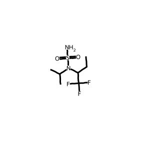 CCC(N(C(C)C)S(N)(=O)=O)C(F)(F)F